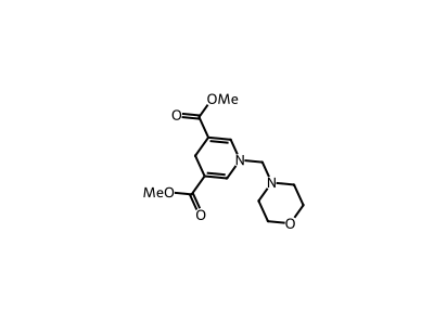 COC(=O)C1=CN(CN2CCOCC2)C=C(C(=O)OC)C1